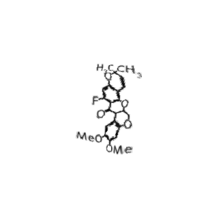 COc1cc2c(cc1OC)C1C(=O)c3c(F)cc4c(c3OC1CO2)C=CC(C)(C)O4